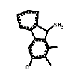 Cc1c(Cl)cc2c(c1C)C([SiH3])c1ccccc1-2